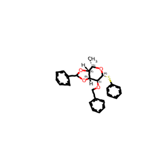 C[C@@H]1O[C@H](Sc2ccccc2)[C@@H](OCc2ccccc2)[C@@H]2OC(c3ccccc3)O[C@@H]21